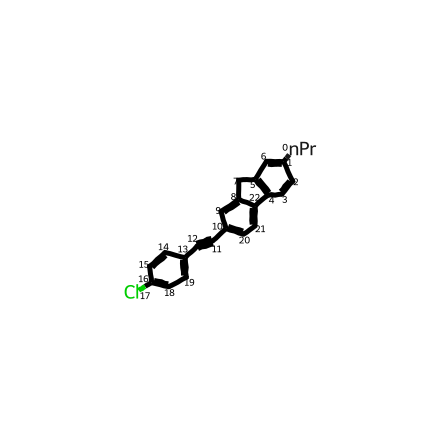 CCCc1ccc2c(c1)Cc1cc(C#Cc3ccc(Cl)cc3)ccc1-2